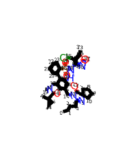 CCCCC1=NC2(CCCC2)C(=O)N1Cc1ccc(-c2ccccc2S(=O)(=O)Nc2noc(C)c2Cl)c(CN(C)C(=O)C2(C)CC2)c1